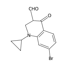 O=CC1CN(C2CC2)c2cc(Br)ccc2C1=O